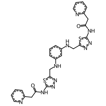 O=C(Cc1ccccn1)Nc1nnc(CNc2cccc(NCc3nnc(NC(=O)Cc4ccccn4)s3)c2)s1